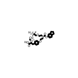 CCOC(Cc1ccc(OCCN(CCOCC(C)(F)F)C(=O)Oc2ccc3c(c2)CCC3)cc1)C(=O)O